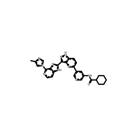 Cc1cn(-c2nccc3[nH]c(-c4n[nH]c5ccc(-c6cncc(NC(=O)C7CCCCC7)c6)nc45)nc23)cn1